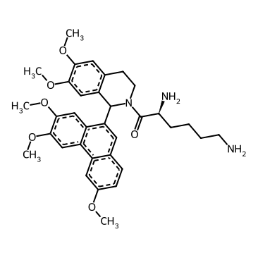 COc1ccc2cc(C3c4cc(OC)c(OC)cc4CCN3C(=O)[C@@H](N)CCCCN)c3cc(OC)c(OC)cc3c2c1